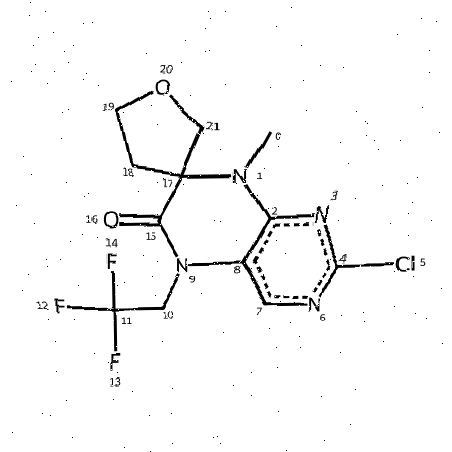 CN1c2nc(Cl)ncc2N(CC(F)(F)F)C(=O)C12CCOC2